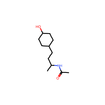 CC(=O)NC(C)CCC1CCC(O)CC1